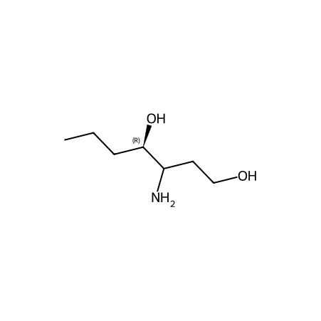 CCC[C@@H](O)C(N)CCO